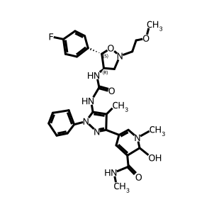 CNC(=O)C1=CC(c2nn(-c3ccccc3)c(NC(=O)N[C@@H]3CN(CCOC)O[C@H]3c3ccc(F)cc3)c2C)=CN(C)C1O